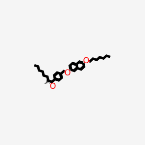 CCCCCCCOc1ccc2cc(OCc3ccc(C(=O)[C@H](C)CCCCCC)cc3)ccc2c1